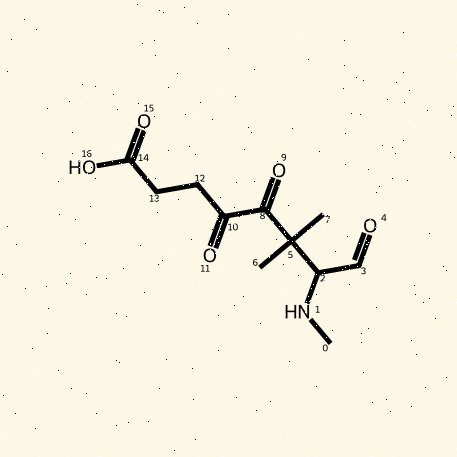 CNC(C=O)C(C)(C)C(=O)C(=O)CCC(=O)O